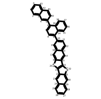 c1ccc2cc(-c3ccc(-c4ccc5cc6c(cc5c4)sc4c5cc7ccccc7cc5sc64)c4ccccc34)ccc2c1